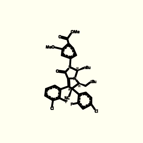 CCCC[C@@H]1N(c2ccc(C(=O)OC)c(OC)c2)C(=O)C2=C(c3cccc(Cl)c3F)[C@@](C#N)(c3ccc(Cl)cc3F)[C@H](CC(C)(C)C)N21